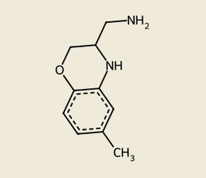 Cc1ccc2c(c1)NC(CN)CO2